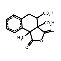 CC12C(=O)OC(=O)C1(C(=O)O)C(C(=O)O)Cc1ccccc12